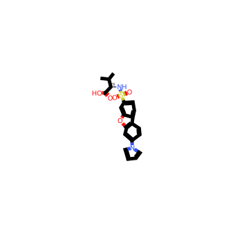 CC(C)[C@H](NS(=O)(=O)c1ccc2c(c1)oc1cc(-n3cccc3)ccc12)C(=O)O